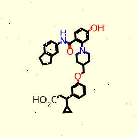 O=C(O)CC(c1cccc(OCC2CCN(c3cc(O)ccc3C(=O)Nc3ccc4c(c3)CCC4)CC2)c1)C1CC1